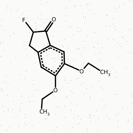 CCOc1cc2c(cc1OCC)C(=O)C(F)C2